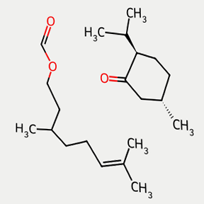 CC(C)=CCCC(C)CCOC=O.CC(C)[C@H]1CC[C@H](C)CC1=O